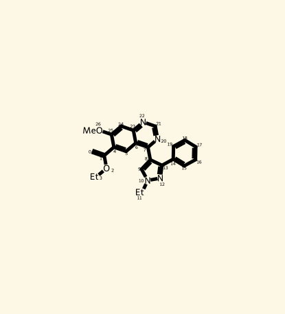 C=C(OCC)c1cc2c(-c3cn(CC)nc3-c3ccccc3)ncnc2cc1OC